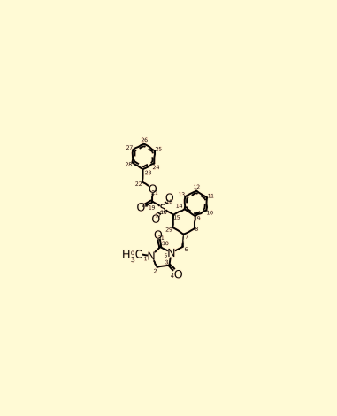 CN1CC(=O)N(C[C@@H]2Cc3ccccc3C(S(=O)(=O)C(=O)OCc3ccccc3)C2)C1=O